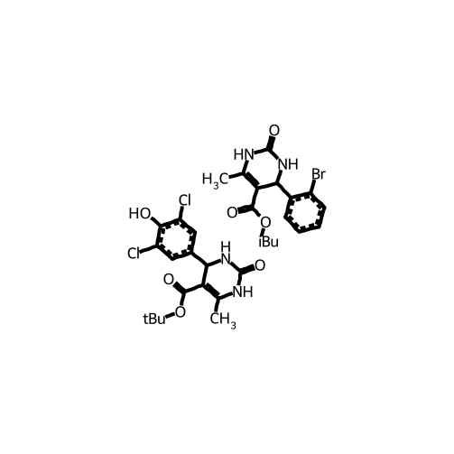 CC1=C(C(=O)OC(C)(C)C)C(c2cc(Cl)c(O)c(Cl)c2)NC(=O)N1.CCC(C)OC(=O)C1=C(C)NC(=O)NC1c1ccccc1Br